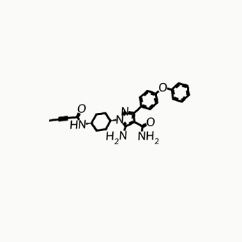 CC#CC(=O)N[C@H]1CC[C@@H](n2nc(-c3ccc(Oc4ccccc4)cc3)c(C(N)=O)c2N)CC1